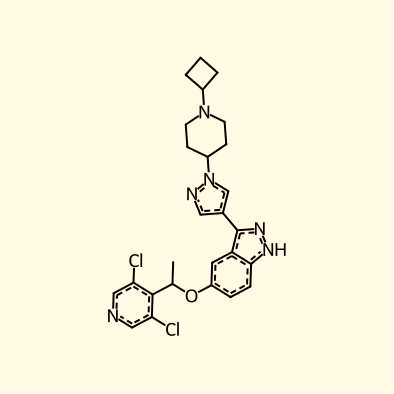 CC(Oc1ccc2[nH]nc(-c3cnn(C4CCN(C5CCC5)CC4)c3)c2c1)c1c(Cl)cncc1Cl